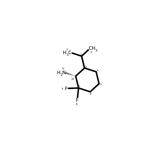 CC(C)C1CCCC(F)(F)[C@@H]1N